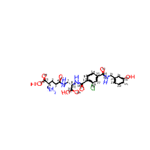 N[C@@H](CCC(=O)NC[C@H](NC(=O)c1ccc(C(=O)NCc2cccc(O)c2)cc1Cl)C(=O)O)C(=O)O